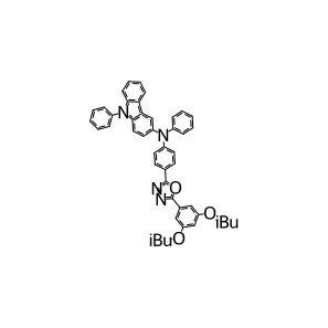 CCC(C)Oc1cc(OC(C)CC)cc(-c2nnc(-c3ccc(N(c4ccccc4)c4ccc5c(c4)c4ccccc4n5-c4ccccc4)cc3)o2)c1